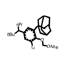 [Li][c]1cc(C(CCC)C(C)(C)C)cc(C23CC4CC(CC(C4)C2)C3)c1OCOC